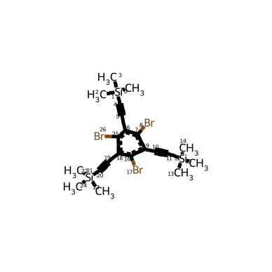 C[Si](C)(C)C#Cc1c(Br)c(C#C[Si](C)(C)C)c(Br)c(C#C[Si](C)(C)C)c1Br